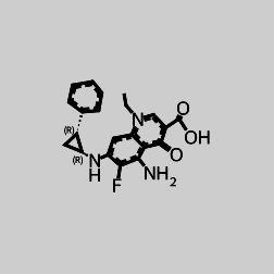 CCn1cc(C(=O)O)c(=O)c2c(N)c(F)c(N[C@@H]3C[C@@H]3c3ccccc3)cc21